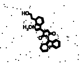 Cn1cc(C2=CC(=O)N(c3c4n(c5ccccc35)C=CCC4)C2=O)c2c1C(CCO)CC=C2